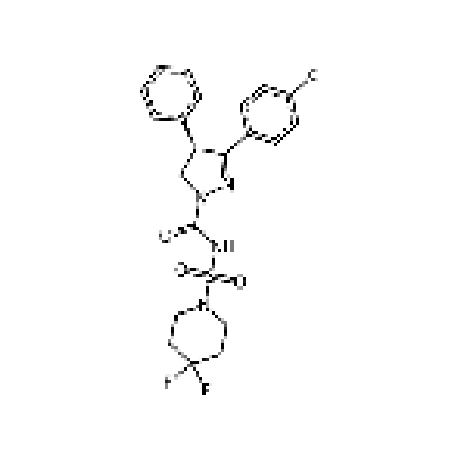 O=C(NS(=O)(=O)N1CCC(F)(F)CC1)N1C[C@@H](c2ccccc2)C(c2ccc(Cl)cc2)=N1